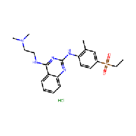 CCS(=O)(=O)c1ccc(Nc2nc(NCCN(C)C)c3ccccc3n2)c(C)c1.Cl